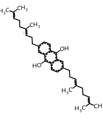 CC(C)=CCC/C(C)=C/CCc1ccc2c(O)c3cc(CC/C=C(\C)CCC=C(C)C)ccc3c(O)c2c1